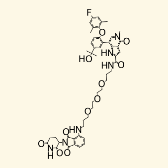 Cc1cc(F)cc(C)c1Oc1ccc(C(C)(C)O)cc1-c1cn(C)c(=O)c2cc(C(=O)NCCCOCCOCCOCCCNc3cccc4c3C(=O)N(C3CCC(=O)NC3=O)C4=O)[nH]c12